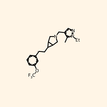 CCn1ncc(CN2CC3C(C[CH]c4cccc(OC(F)(F)F)c4)C3C2)c1C